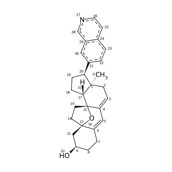 C[C@]12CC=C3C=C4CC[C@@H](O)C[C@]45CC[C@@]3(O5)[C@@H]1CC[C@H]2c1ccc2ccncc2c1